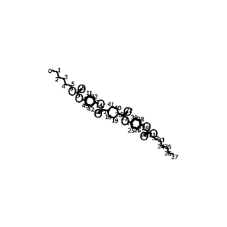 CCCCCCOC(=O)Oc1ccc(OC(=O)C2CCC(C(=O)Oc3ccc(OC(=O)OCCCCCC)cc3)CC2)cc1